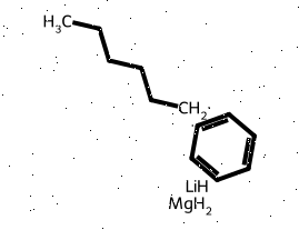 [CH2]CCCCC.[LiH].[MgH2].[c]1ccccc1